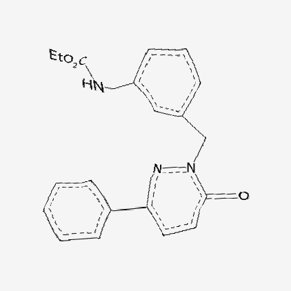 CCOC(=O)Nc1cccc(Cn2nc(-c3ccccc3)ccc2=O)c1